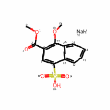 COC(=O)c1cc(S(=O)(=O)O)c2ccccc2c1OC.[NaH]